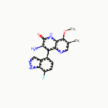 COc1c(C)cnc2c(-c3ccc(F)c4[nH]ncc34)c(N)c(=O)[nH]c12